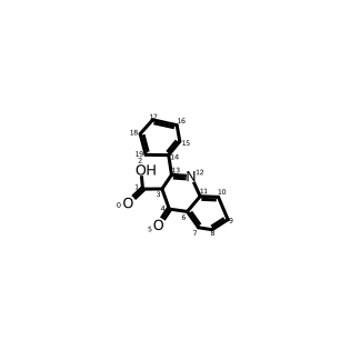 O=C(O)C1C(=O)c2ccccc2N=C1c1ccccc1